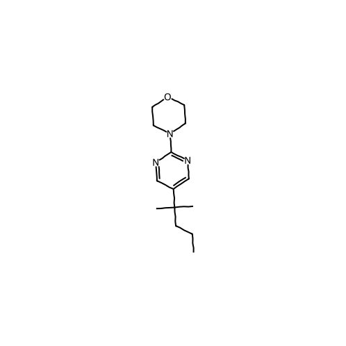 CCCC(C)(C)c1cnc(N2CCOCC2)nc1